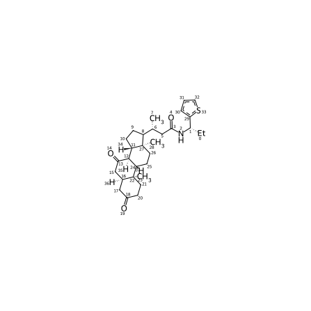 CC[C@H](NC(=O)C[C@@H](C)C1CC[C@H]2[C@@H]3C(=O)C[C@@H]4CC(=O)CC[C@]4(C)[C@H]3CC[C@]12C)c1cccs1